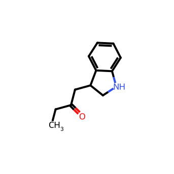 CCC(=O)CC1CNc2ccccc21